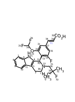 C[C@@H]1Cc2c([nH]c3ccccc23)[C@@H](c2c(F)cc(/C=C/C(=O)O)cc2OC(F)F)N1CC(C)(C)F